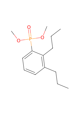 CCCc1cccc(P(=O)(OC)OC)c1CCC